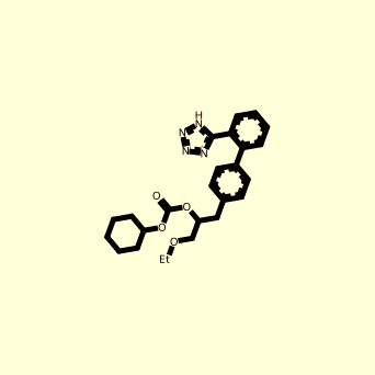 CCOC[C](Cc1ccc(-c2ccccc2-c2nnn[nH]2)cc1)OC(=O)OC1CCCCC1